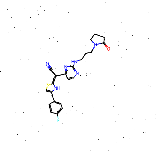 N#CC(=C1NC(c2ccc(F)cc2)=CS1)c1ccnc(NCCCN2CCCC2=O)n1